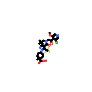 COc1cncc(Cl)c1C(=O)CN(CC(C)(C)C)C(=O)c1cnn(C2CCC(C)(C(=O)O)CC2)c1C(F)(F)F